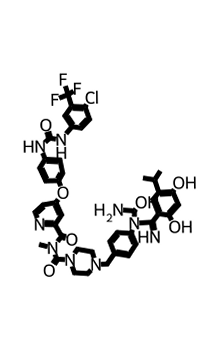 CC(C)c1cc(C(=N)N(c2ccc(CN3CCN(C(=O)N(C)C(=O)c4cc(Oc5ccc(NC(=O)Nc6ccc(Cl)c(C(F)(F)F)c6)cc5)ccn4)CC3)cc2)C(N)O)c(O)cc1O